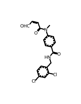 CN(C(=O)/C=C\C=O)c1ccc(C(=O)NCc2ccc(Cl)cc2Cl)cc1